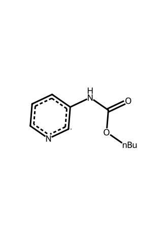 CCCCOC(=O)Nc1[c]nccc1